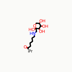 CC(C)C(=O)CCCCCNCC1(O)OCC(O)C(O)C1O